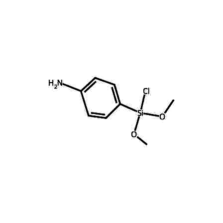 CO[Si](Cl)(OC)c1ccc(N)cc1